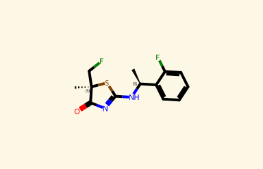 C[C@H](NC1=NC(=O)[C@@](C)(CF)S1)c1ccccc1F